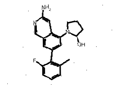 Cc1cccc(F)c1-c1cc(N2CCC[C@H]2O)c2cc(N)ncc2c1